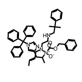 CC=CCN(CC(=O)NCC(C)(C)c1ccccc1)[N+]([O-])(C(=O)OCc1ccccc1)C(C)Cc1cn(C(c2ccccc2)(c2ccccc2)c2ccccc2)cn1